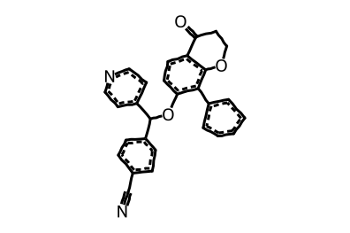 N#Cc1ccc(C(Oc2ccc3c(c2-c2ccccc2)OCCC3=O)c2ccncc2)cc1